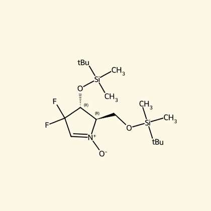 CC(C)(C)[Si](C)(C)OC[C@@H]1[C@@H](O[Si](C)(C)C(C)(C)C)C(F)(F)C=[N+]1[O-]